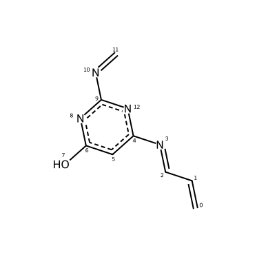 C=CC=Nc1cc(O)nc(N=C)n1